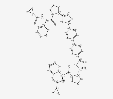 O=C(N[C@H](C(=O)N1CCC[C@H]1c1ncc(-c2ccc(-c3ccc(-c4cnc([C@@H]5CCCN5C(=O)[C@@H](NC(=O)C5CC5)c5ccccc5)s4)cc3)cc2)s1)C1=CC=CCC1)C1CC1